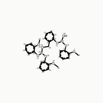 COc1ccccc1OP(O)Oc1ccccc1COP(Oc1ccccc1OC)Oc1ccccc1OC